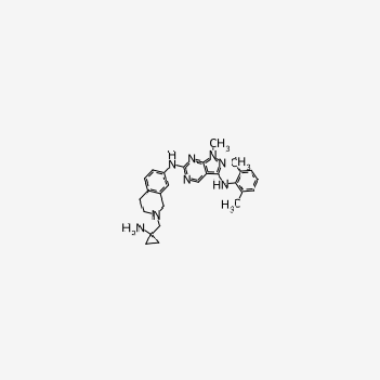 Cc1cccc(C)c1Nc1nn(C)c2nc(Nc3ccc4c(c3)CN(CC3(N)CC3)CC4)ncc12